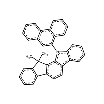 CC1(C)c2ccccc2-c2ccc3c4ccccc4n(-c4cc5ccccc5c5ccccc45)c3c21